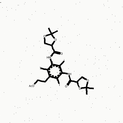 CC(=O)OCCc1c(I)c(NC(=O)C2COC(C)(C)O2)c(I)c(NC(=O)C2COC(C)(C)O2)c1I